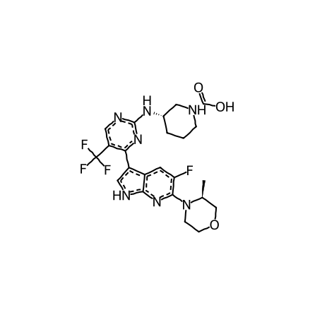 C[C@H]1COCCN1c1nc2[nH]cc(-c3nc(N[C@H]4CCCNC4)ncc3C(F)(F)F)c2cc1F.O=CO